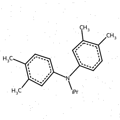 Cc1ccc(N(c2ccc(C)c(C)c2)C(C)C)cc1C